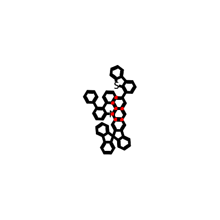 c1ccc(-c2ccccc2-c2c(-c3ccccc3)cccc2N(c2ccc(-c3cccc4c3sc3ccccc34)cc2)c2ccc3c(c2)C2(c4ccccc4-c4ccccc42)c2ccccc2-3)cc1